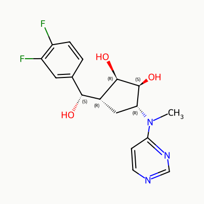 CN(c1ccncn1)[C@@H]1C[C@H]([C@H](O)c2ccc(F)c(F)c2)[C@@H](O)[C@H]1O